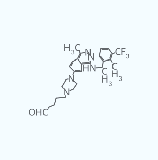 Cc1c(C(C)Nc2nnc(C)c3ccc(N4CCN(CCCCC=O)CC4)cc23)cccc1C(F)(F)F